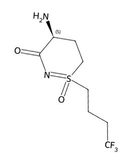 N[C@H]1CCS(=O)(CCCC(F)(F)F)=NC1=O